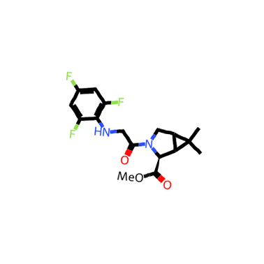 COC(=O)[C@@H]1C2C(CN1C(=O)CNc1c(F)cc(F)cc1F)C2(C)C